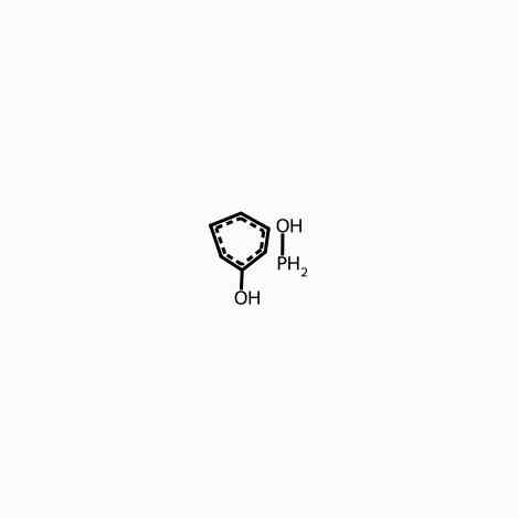 OP.Oc1ccccc1